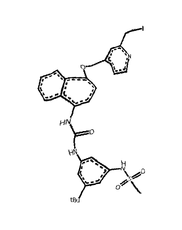 CC(C)(C)c1cc(NC(=O)Nc2ccc(Oc3ccnc(CI)c3)c3ccccc23)cc(NS(C)(=O)=O)c1